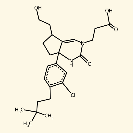 CC(C)(C)CCc1ccc(C23CCC(CCO)C2=CN(CCC(=O)O)C(=O)N3)cc1Cl